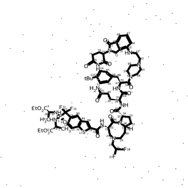 CCOC(=O)[C@H](C)NP(=O)(N[C@H](C)C(=O)OCC)C(F)(F)c1ccc2sc(C(=O)N[C@H]3CN(CC(F)F)CC[C@H]4CC[C@@H](C(=O)N[C@@H](CCC(N)=O)C(=O)N[C@@H](Cc5ccc(C(C)(C)C)cc5)C(=O)N5CCN(CCNc6cccc7c6CN(C6CCC(=O)NC6=O)C7=O)CC5)N4C3=O)cc2c1